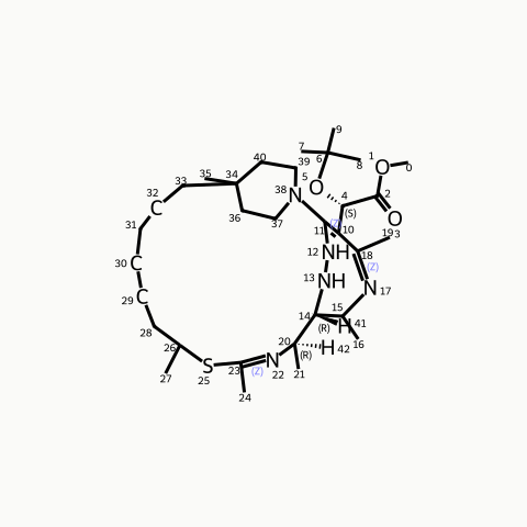 COC(=O)[C@@H](OC(C)(C)C)C1=C2\NN[C@H](C(C)/N=C\1C)[C@@H](C)/N=C(/C)SC(C)CCCCCCC1(C)CCN2CC1